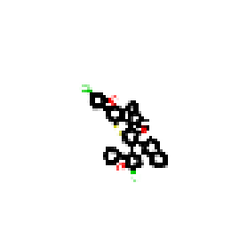 Clc1ccc2c(c1)oc1cc3c(cc12)Sc1cc(-c2ccc(Cl)c4oc5c(c24)C=CCC5)c(-c2ccc4ccccc4c2)cc1C31c2ccccc2-c2ccccc21